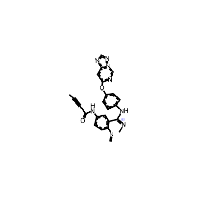 C=Nc1ccc(NC(=O)C#CC)cc1/C(=N\C)Nc1ccc(Oc2cc3ncnn3cn2)cc1